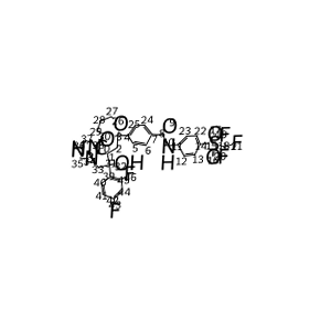 CC(CC1(c2ccc(C(=O)Nc3ccc(S(=O)(=O)C(F)(F)F)cc3)cc2)OCCCO1)C(O)(Cn1cncn1)c1ccc(F)cc1F